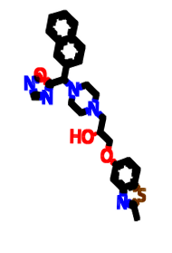 Cc1nc2cc(OC[C@H](O)CN3CCN(C(c4ccc5ccccc5c4)c4ncno4)CC3)ccc2s1